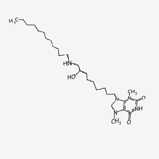 CCCCCCCCCCCCNCC(O)CCCCCCCN1CN(C)c2c1n(C)c(=O)[nH]c2=O